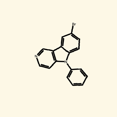 Brc1ccc2c(c1)c1cnccc1n2-c1ccccc1